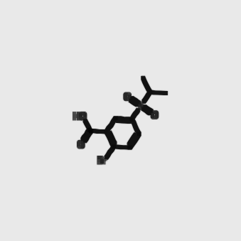 CC(C)S(=O)(=O)c1ccc(Br)c(C(=O)O)c1